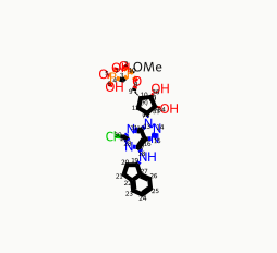 COP(=O)(CP(=O)(O)O)OC[C@H]1C[C@@H](n2nnc3c(NC4CCc5ccccc54)nc(Cl)nc32)[C@H](O)[C@@H]1O